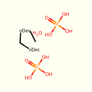 CC.CCCCCCCCCCCCCCCCCCCCC.O.O=P(O)(O)O.O=P(O)(O)O